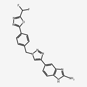 Nc1nc2cc(-c3cn(Cc4ccc(-c5nnc(C(F)F)o5)cc4)nn3)ccc2[nH]1